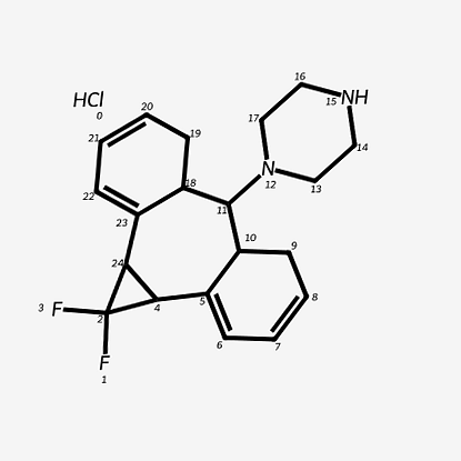 Cl.FC1(F)C2C3=CC=CCC3C(N3CCNCC3)C3CC=CC=C3C21